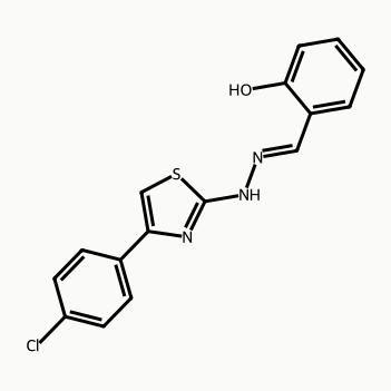 Oc1ccccc1C=NNc1nc(-c2ccc(Cl)cc2)cs1